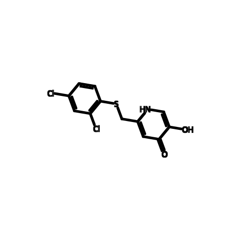 O=c1cc(CSc2ccc(Cl)cc2Cl)[nH]cc1O